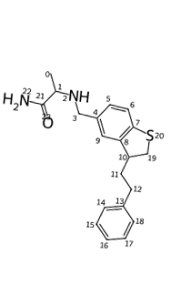 CC(NCc1ccc2c(c1)C(CCc1ccccc1)CS2)C(N)=O